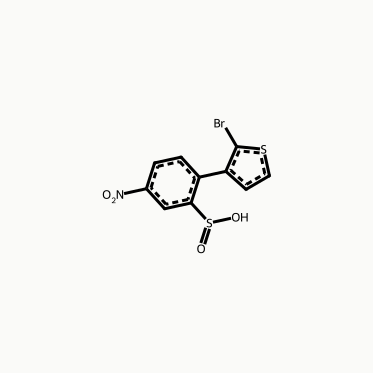 O=[N+]([O-])c1ccc(-c2ccsc2Br)c(S(=O)O)c1